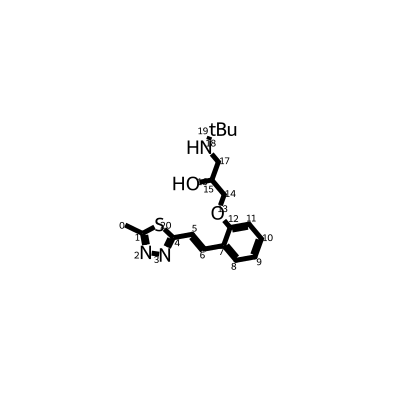 Cc1nnc(C=Cc2ccccc2OCC(O)CNC(C)(C)C)s1